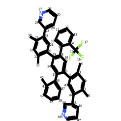 Cc1cc(C)c(-c2cc(-c3ccccc3C(F)(F)F)c(-c3cc(-c4cccnc4)c(C)cc3C)cc2-c2ccccc2C)cc1-c1cccnc1